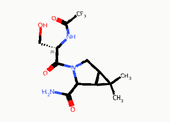 CC1(C)C2CN(C(=O)[C@H](CO)NC(=O)C(F)(F)F)C(C(N)=O)C21